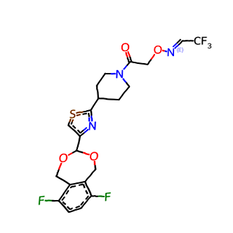 O=C(CO/N=C/C(F)(F)F)N1CCC(c2nc(C3OCc4c(F)ccc(F)c4CO3)cs2)CC1